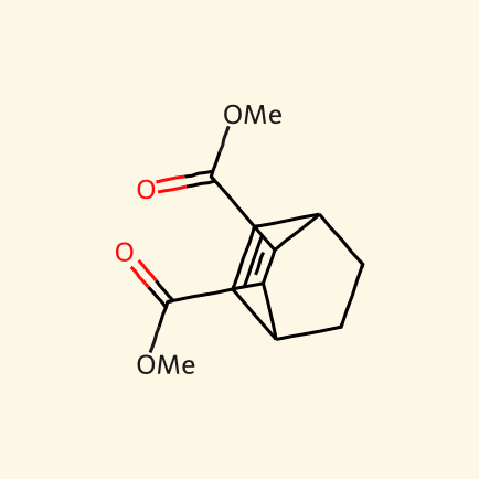 COC(=O)C1=C(C(=O)OC)C2C=CC1CC2